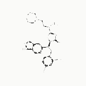 CN(CCN1CCOCC1)C1=NC(=O)C(=C(Cc2ccc(Cl)cc2C(F)(F)F)c2ccc3[nH]ncc3c2)S1